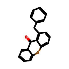 O=c1c2ccccc2sc2cccc(Cc3ccccc3)c12